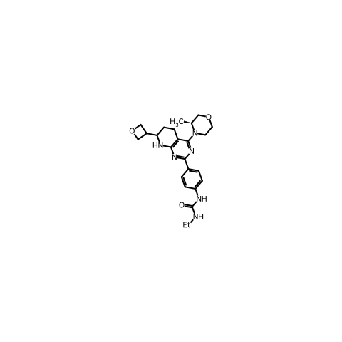 CCNC(=O)Nc1ccc(-c2nc3c(c(N4CCOC[C@@H]4C)n2)CCC(C2COC2)N3)cc1